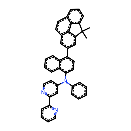 CC1(C)c2cccc3ccc4cc(-c5ccc(N(c6ccccc6)c6ccnc(-c7ccccn7)c6)c6ccccc56)cc1c4c23